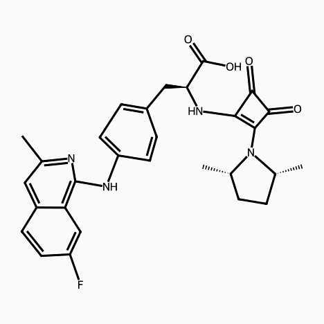 Cc1cc2ccc(F)cc2c(Nc2ccc(C[C@H](Nc3c(N4[C@H](C)CC[C@@H]4C)c(=O)c3=O)C(=O)O)cc2)n1